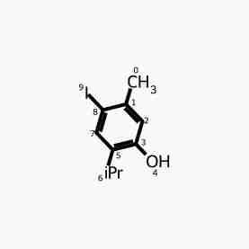 Cc1cc(O)c(C(C)C)cc1I